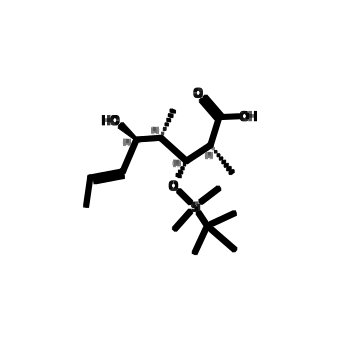 CC=C[C@@H](O)[C@H](C)[C@@H](O[Si](C)(C)C(C)(C)C)[C@@H](C)C(=O)O